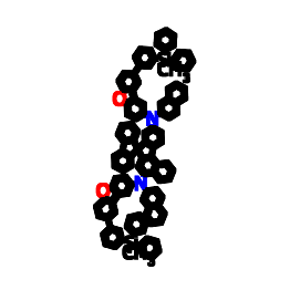 C[Si](c1ccccc1)(c1ccccc1)c1cccc(-c2ccc3oc4ccc(N(c5ccc6c(c5)C5(c7ccccc7-c7ccccc75)c5cc(N(c7ccc8ccccc8c7)c7ccc8oc9ccc(-c%10cccc([Si](C)(c%11ccccc%11)c%11ccccc%11)c%10)cc9c8c7)c7ccccc7c5-6)c5ccc6ccccc6c5)cc4c3c2)c1